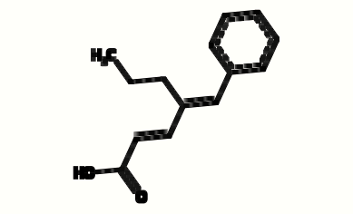 CCCC(/C=C/C(=O)O)=C\c1ccccc1